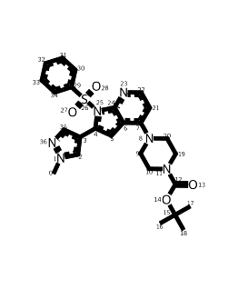 Cn1cc(-c2cc3c(N4CCN(C(=O)OC(C)(C)C)CC4)ccnc3n2S(=O)(=O)c2ccccc2)cn1